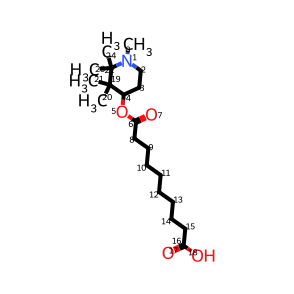 CN1CCC(OC(=O)CCCCCCCCC(=O)O)C(C)(C)C1(C)C